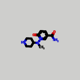 CN(C1CCNCC1)n1cc(C(N)=O)ccc1=O